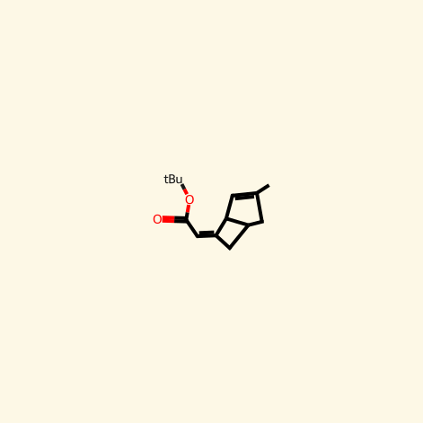 CC1=CC2C(=CC(=O)OC(C)(C)C)CC2C1